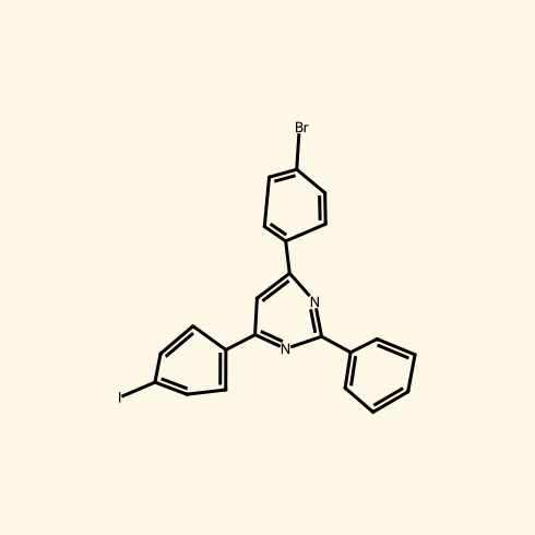 Brc1ccc(-c2cc(-c3ccc(I)cc3)nc(-c3ccccc3)n2)cc1